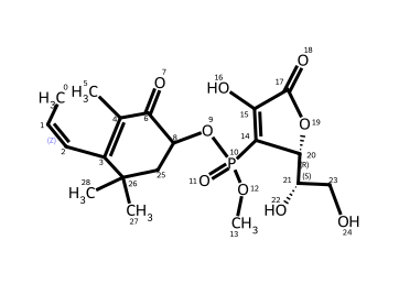 C/C=C\C1=C(C)C(=O)C(OP(=O)(OC)C2=C(O)C(=O)O[C@@H]2[C@@H](O)CO)CC1(C)C